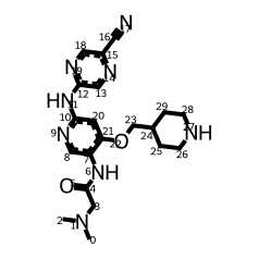 CN(C)CC(=O)Nc1cnc(Nc2cnc(C#N)cn2)cc1OCC1CCNCC1